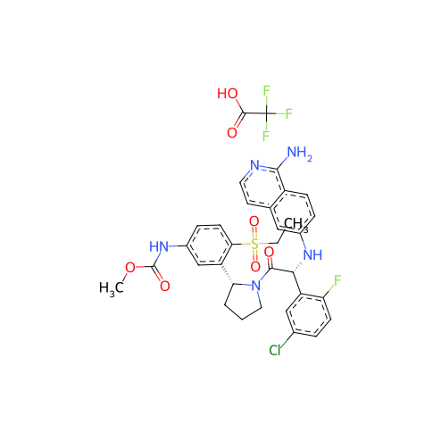 CCS(=O)(=O)c1ccc(NC(=O)OC)cc1[C@H]1CCCN1C(=O)[C@H](Nc1ccc2c(N)nccc2c1)c1cc(Cl)ccc1F.O=C(O)C(F)(F)F